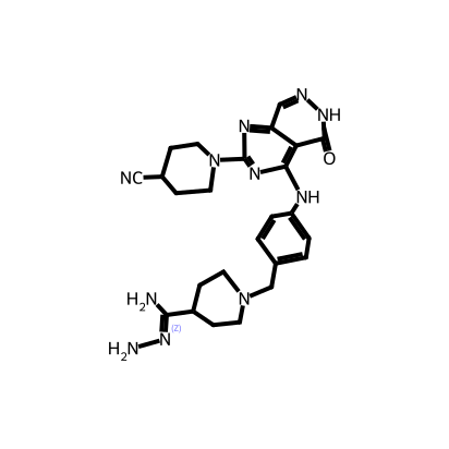 N#CC1CCN(c2nc(Nc3ccc(CN4CCC(/C(N)=N/N)CC4)cc3)c3c(=O)[nH]ncc3n2)CC1